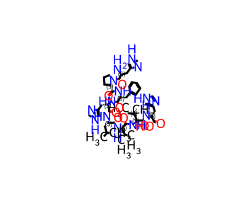 CC[C@H](C)[C@H](NC(=O)[C@@H](NC(=O)[C@H](CC(C)C)NC(=O)[C@H](Cc1c[nH]cn1)NC(=O)[C@H](Cc1ccccc1)NC(=O)[C@@H]1CCCN1C(=O)[C@@H](N)Cc1c[nH]cn1)C(C)C)C(=O)N[C@@H](Cc1c[nH]cn1)C(=O)O